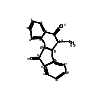 CN1C(=O)c2ccccc2N2C(=O)c3ccccc3C12